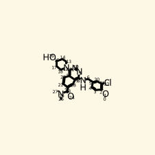 COc1ccc(CNc2nnc(N3CCC(O)CC3)c3ccc(C(=O)N(C)C)cc23)cc1Cl